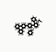 CCn1c2ccccc2c2c(-c3ccc(-c4ccc5c6ccccc6c6ccccc6c5c4)cc3Oc3ccccc3)cccc21